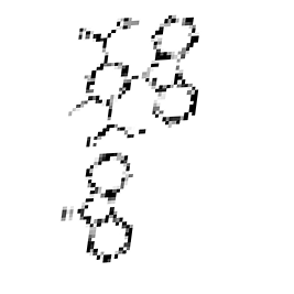 Cc1cc(C(=O)O)ccc1C(=O)O.c1ccc2c(c1)[nH]c1ccccc12.c1ccc2c(c1)[nH]c1ccccc12